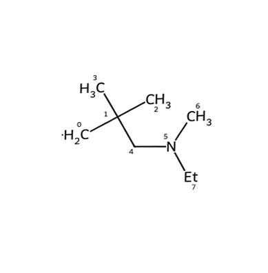 [CH2]C(C)(C)CN(C)CC